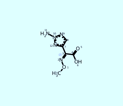 CO/N=C(\C(=O)O)c1cnn(N)n1